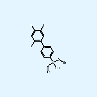 CCO[Si](O)(OCC)c1ccc(-c2cc(F)c(F)cc2F)cc1